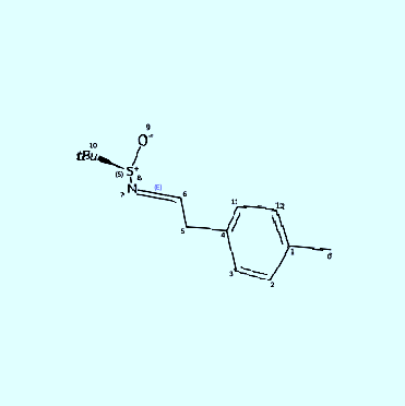 Cc1ccc(C/C=N/[S@+]([O-])C(C)(C)C)cc1